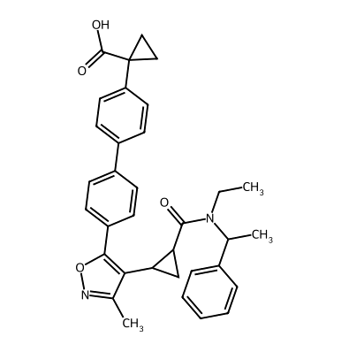 CCN(C(=O)C1CC1c1c(C)noc1-c1ccc(-c2ccc(C3(C(=O)O)CC3)cc2)cc1)C(C)c1ccccc1